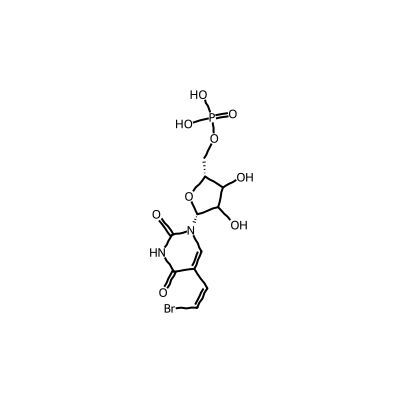 O=c1[nH]c(=O)n([C@@H]2O[C@H](COP(=O)(O)O)C(O)C2O)cc1/C=C\Br